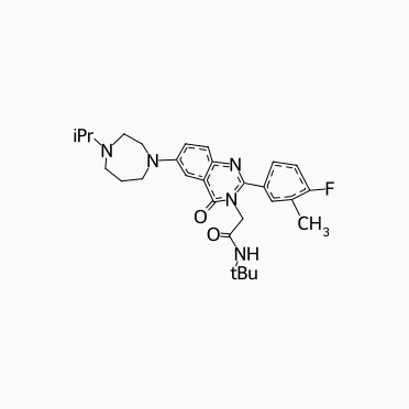 Cc1cc(-c2nc3ccc(N4CCCN(C(C)C)CC4)cc3c(=O)n2CC(=O)NC(C)(C)C)ccc1F